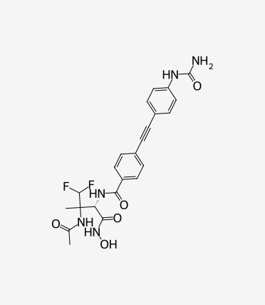 CC(=O)NC(C)(C(F)F)[C@H](NC(=O)c1ccc(C#Cc2ccc(NC(N)=O)cc2)cc1)C(=O)NO